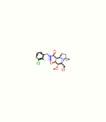 COc1c(C=O)n2c(c(C(=O)NCc3cccc(Cl)c3F)c1=O)CC[C@H]2C